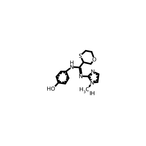 Cn1ccnc1N=C(Nc1ccc(O)cc1)C1COCCS1.I